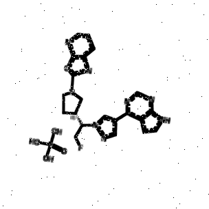 FCC([C@@H]1CCN(c2nc3cccnc3o2)C1)n1cc(-c2ncnc3[nH]ccc23)cn1.O=P(O)(O)O